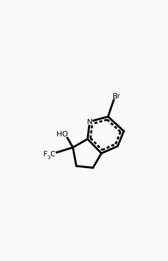 OC1(C(F)(F)F)CCc2ccc(Br)nc21